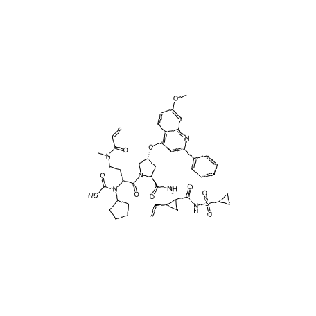 C=CC(=O)N(C)CC[C@@H](C(=O)N1C[C@H](Oc2cc(-c3ccccc3)nc3cc(OC)ccc23)C[C@H]1C(=O)N[C@]1(C(=O)NS(=O)(=O)C2CC2)C[C@H]1C=C)N(C(=O)O)C1CCCC1